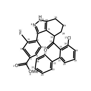 COC(=O)c1ccc(-c2n[nH]c3c2C(C(=O)c2c(Cl)cccc2-c2ccccc2)CCC3)c(F)c1